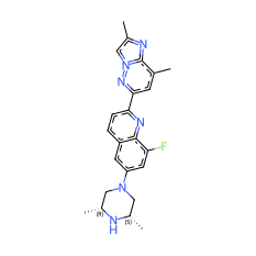 Cc1cn2nc(-c3ccc4cc(N5C[C@@H](C)N[C@@H](C)C5)cc(F)c4n3)cc(C)c2n1